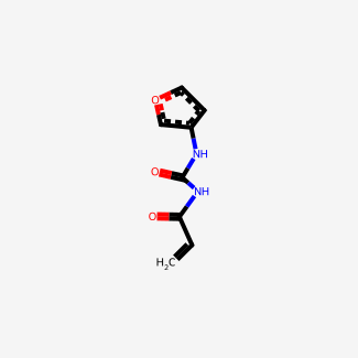 C=CC(=O)NC(=O)Nc1ccoc1